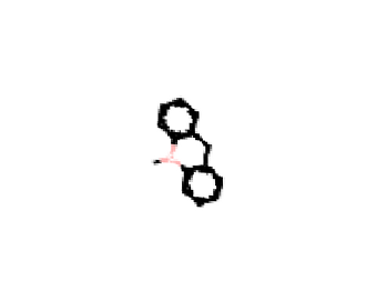 CB1c2ccccc2Cc2ccccc21